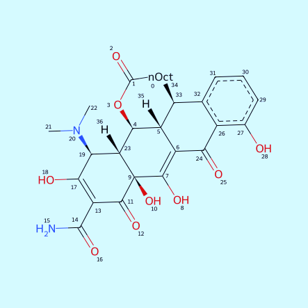 CCCCCCCCC(=O)O[C@H]1[C@H]2C(=C(O)[C@]3(O)C(=O)C(C(N)=O)=C(O)[C@@H](N(C)C)[C@H]13)C(=O)c1c(O)cccc1[C@@H]2C